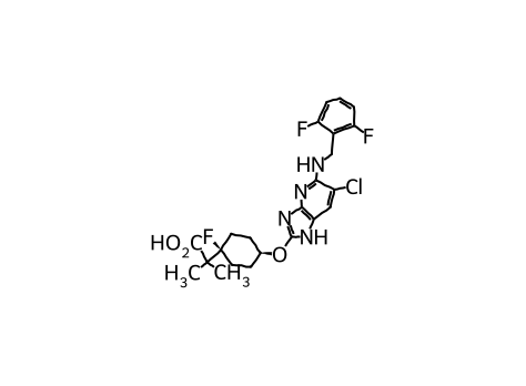 CC(C)(C(=O)O)[C@]1(F)CC[C@@H](Oc2nc3nc(NCc4c(F)cccc4F)c(Cl)cc3[nH]2)CC1